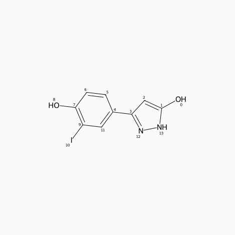 Oc1cc(-c2ccc(O)c(I)c2)n[nH]1